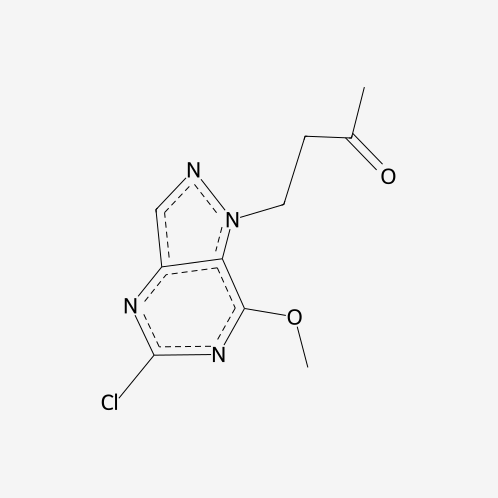 COc1nc(Cl)nc2cnn(CCC(C)=O)c12